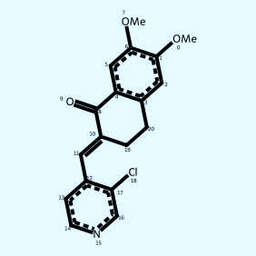 COc1cc2c(cc1OC)C(=O)C(=Cc1ccncc1Cl)CC2